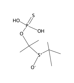 CC(C)(C)[S+]([O-])C(C)(C)OP(O)(O)=S